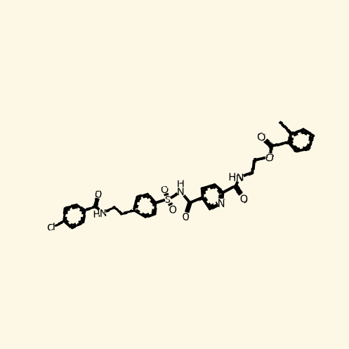 Cc1ccccc1C(=O)OCCNC(=O)c1ccc(C(=O)NS(=O)(=O)c2ccc(CCNC(=O)c3ccc(Cl)cc3)cc2)cn1